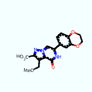 COCc1c(C(=O)O)nn2cc(-c3ccc4c(c3)OCCO4)[nH]c(=O)c12